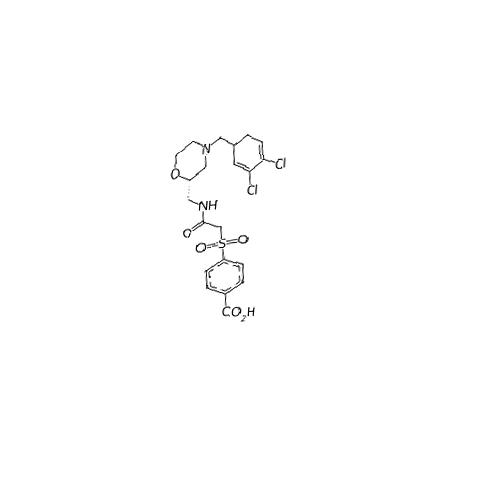 O=C(CS(=O)(=O)c1ccc(C(=O)O)cc1)NC[C@H]1CN(CC2C=C(Cl)C(Cl)=CC2)CCO1